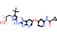 C[C@@H](CO)Cn1nc(Nc2nc3ncc(Oc4ccnc(NC(=O)C5CC5)c4)cc3n2C)cc1C(C)(C)C